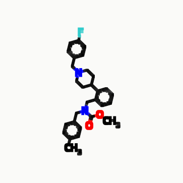 COC(=O)N(Cc1ccc(C)cc1)Cc1ccccc1C1CCN(Cc2ccc(F)cc2)CC1